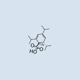 CC(C)C1=C[C@H](C(C)C)[C@@H](S(=O)(=O)O)C(C(C)C)=C1